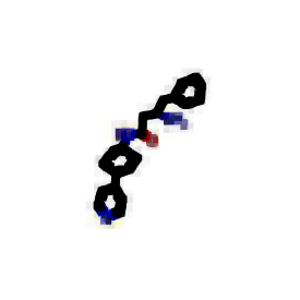 N[C@@H](CC(=O)Nc1ccc(-c2ccncc2)cc1)Cc1ccccc1